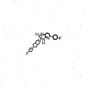 Nc1ccc(-c2ccc(F)cc2)nc1NC(=O)N1CC2CC(N3CC(F)C3)CC2C1